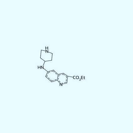 CCOC(=O)c1cnc2ccc(NC3CCNCC3)cc2c1